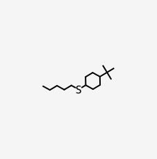 CCCCCSC1CCC(C(C)(C)C)CC1